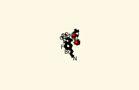 CCc1nc2c(S(C)(=O)=O)nc3c(F)c(Br)c(CCC#N)cc3c2n1C1C2CC1N(C(=O)OC(C)(C)C)C2